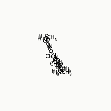 C=CCn1c(O[C@@H]2CO[C@H]3[C@@H]2OC[C@H]3O[Si](C)(C)C(C)(C)C)nc2nc(-c3ccc(-n4cc5c(n4)CN(C(=O)OC(C)(C)C)C5)cc3)c(Cl)cc21